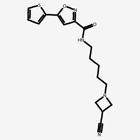 N#CC1CN(CCCCCNC(=O)c2cc(-c3cccs3)on2)C1